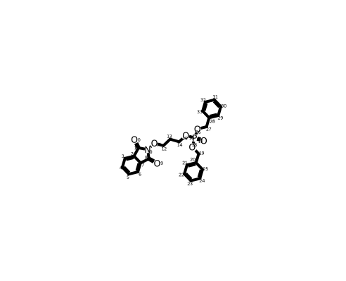 O=C1c2ccccc2C(=O)N1OCCCOP(=O)(OCc1ccccc1)OCc1ccccc1